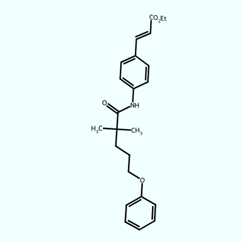 CCOC(=O)C=Cc1ccc(NC(=O)C(C)(C)CCCOc2ccccc2)cc1